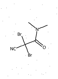 CN(C)C(=O)C(Br)(Br)C#N